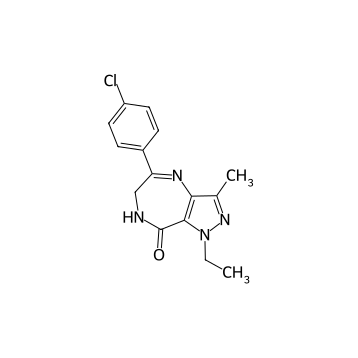 CCn1nc(C)c2c1C(=O)NCC(c1ccc(Cl)cc1)=N2